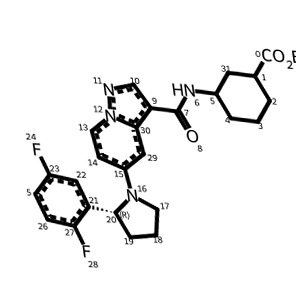 CCOC(=O)C1CCCC(NC(=O)c2cnn3ccc(N4CCC[C@@H]4c4cc(F)ccc4F)cc23)C1